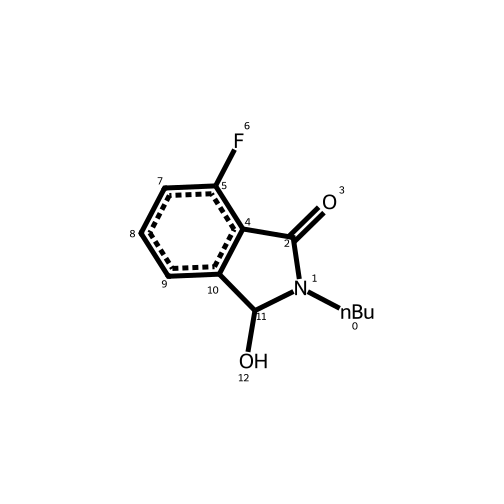 CCCCN1C(=O)c2c(F)cccc2C1O